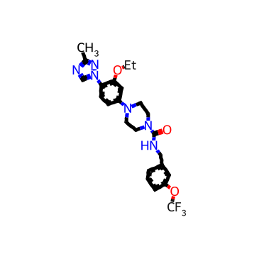 CCOc1cc(N2CCN(C(=O)NCc3cccc(OC(F)(F)F)c3)CC2)ccc1-n1cnc(C)n1